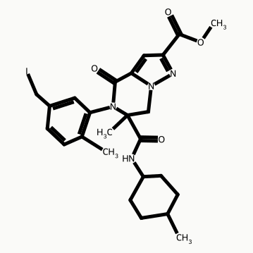 COC(=O)c1cc2n(n1)CC(C)(C(=O)NC1CCC(C)CC1)N(c1cc(CI)ccc1C)C2=O